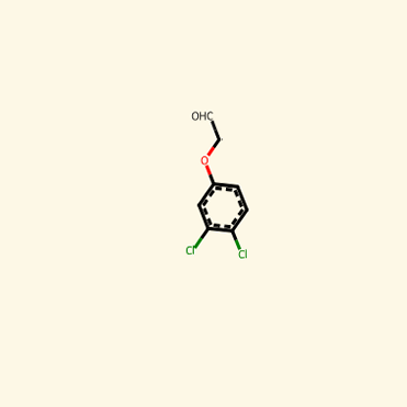 O=C[CH]Oc1ccc(Cl)c(Cl)c1